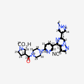 Cn1cc(-c2cn3ncc(C#N)c3c(-c3ccc(N4CCN(C(=O)C5CCN(C(=O)O)C5)CC4)nc3)n2)cn1